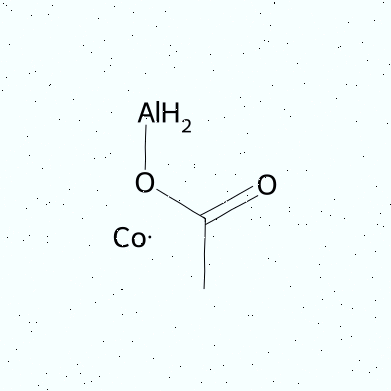 CC(=O)[O][AlH2].[Co]